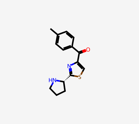 Cc1ccc(C(=O)c2csc([C@@H]3CCCN3)n2)cc1